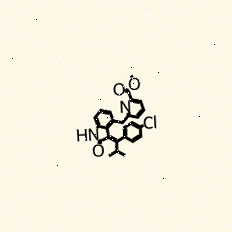 COC(=O)c1cccc(Cc2cccc3c2/C(=C(\c2ccc(Cl)cc2)C(C)C)C(=O)N3)n1